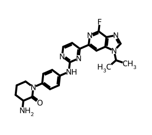 CC(C)n1cnc2c(F)nc(-c3ccnc(Nc4ccc(N5CCCC(N)C5=O)cc4)n3)cc21